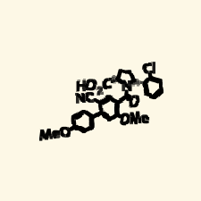 COc1ccc(-c2cc(OC)c(C(=O)N3[C@@H](c4ccccc4Cl)CC[C@H]3C(=O)O)cc2C#N)cc1